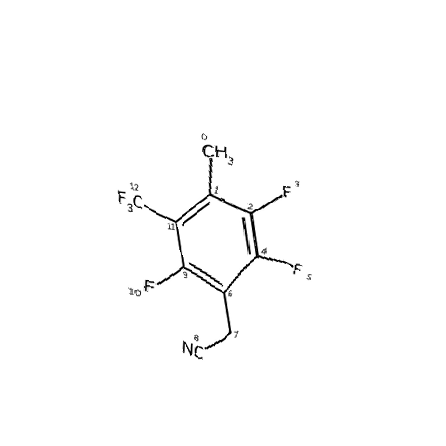 Cc1c(F)c(F)c(CC#N)c(F)c1C(F)(F)F